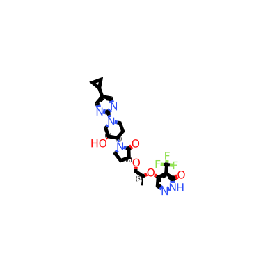 C[C@@H](CO[C@@H]1CCN([C@@H]2CCN(c3ncc(C4CC4)cn3)C[C@H]2O)C1=O)Oc1cn[nH]c(=O)c1C(F)(F)F